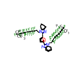 FC(F)(F)C(F)(C(F)(F)F)C(F)(F)C(F)(F)C(F)(F)C(F)(F)C(F)(F)C(F)(F)CCn1c(-c2ccc(-c3nc4ccccc4n3CCC(F)(F)C(F)(F)C(F)(F)C(F)(F)C(F)(F)C(F)(F)C(F)(C(F)(F)F)C(F)(F)F)o2)nc2ccccc21